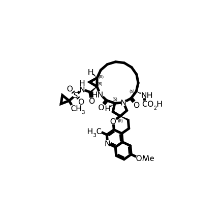 COc1ccc2nc(C)c3c(c2c1)CC[C@]1(C[C@H]2C(=O)N[C@]4(C(=O)NS(=O)(=O)C5(C)CC5)C[C@H]4CCCCCCC[C@H](NC(=O)O)C(=O)N2C1)O3